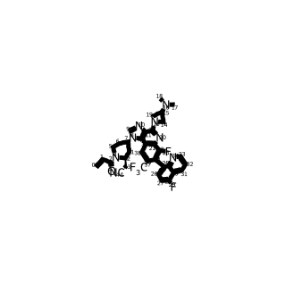 C=CC(=O)N1CC[C@H](n2cnc3c(N4CC(N(C)C)C4)nc4c(F)c(-c5ccc(F)c6cccnc56)c(C(F)(F)F)cc4c32)C[C@H]1CC#N